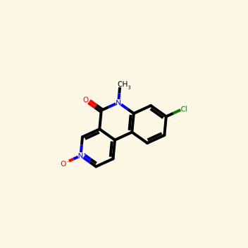 Cn1c(=O)c2c[n+]([O-])ccc2c2ccc(Cl)cc21